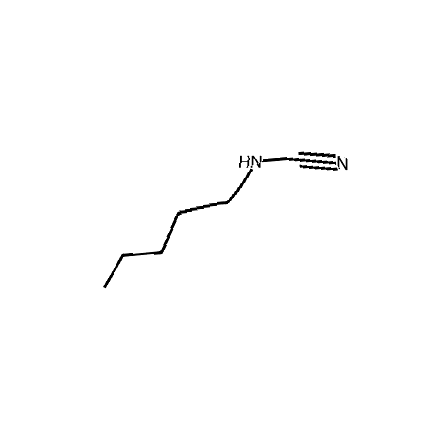 CCCCCNC#N